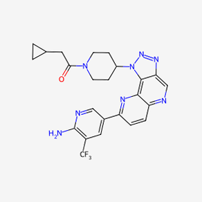 Nc1ncc(-c2ccc3ncc4nnn(C5CCN(C(=O)CC6CC6)CC5)c4c3n2)cc1C(F)(F)F